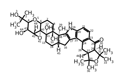 CC(C)(O)C1OC2CC[C@@]3(C)[C@@](O)(CC[C@H]4Cc5c([nH]c6ccc7c(c56)C[C@@H]5[C@@H](C7=O)C(C)(C)OC5(C)C)[C@@]43C)[C@]23O[C@@H]3[C@H]1O